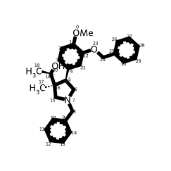 COc1ccc([C@H]2CN(Cc3ccccc3)C[C@@]2(C)[C@@H](C)O)cc1OCc1ccccc1